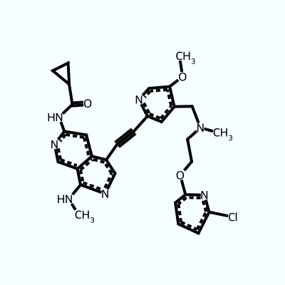 CNc1ncc(C#Cc2cc(CN(C)CCOc3cccc(Cl)n3)c(OC)cn2)c2cc(NC(=O)C3CC3)ncc12